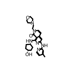 Cc1ccnc(Nc2cc3ccn(CCN4CCOCC4)c(=O)c3c(N[C@H]3CC[C@@H](O)CC3)n2)c1